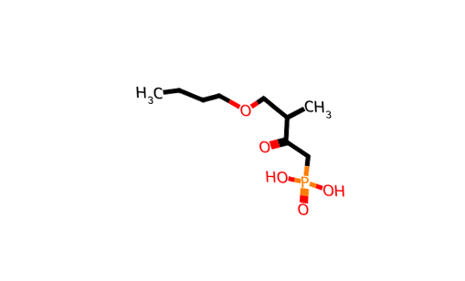 CCCCOCC(C)C(=O)CP(=O)(O)O